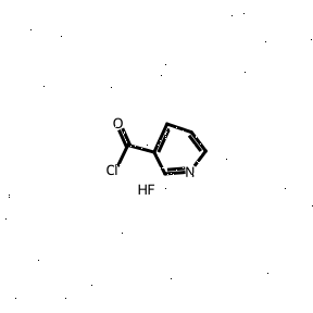 F.O=C(Cl)c1cccnc1